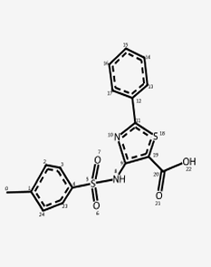 Cc1ccc(S(=O)(=O)Nc2nc(-c3ccccc3)sc2C(=O)O)cc1